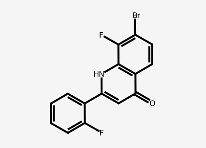 O=c1cc(-c2ccccc2F)[nH]c2c(F)c(Br)ccc12